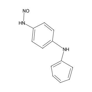 O=NNc1ccc(Nc2ccccc2)cc1